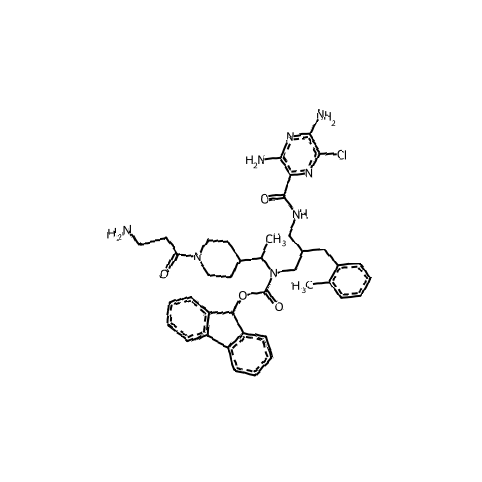 Cc1ccccc1CC(CNC(=O)c1nc(Cl)c(N)nc1N)CN(C(=O)OC1c2ccccc2-c2ccccc21)C(C)C1CCN(C(=O)CCN)CC1